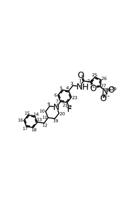 O=C(NCc1ccc(N2CCC(Cc3ccccc3)CC2)c(F)c1)c1ccc([N+](=O)[O-])o1